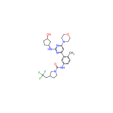 Cc1ccc(NC(=O)N2CCC(CC(F)(F)F)C2)cc1-c1cc(N2CCOCC2)nc(N[C@H]2CC[C@@H](O)C2)n1